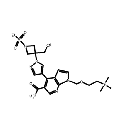 CCS(=O)(=O)N1CC(CC#N)(n2cc(-c3c(C(N)=O)cnc4c3ccn4COCC[Si](C)(C)C)cn2)C1